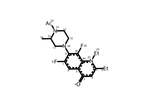 CCc1cc(=O)c2cc(F)c(N3CCN(C(C)=O)C(C)C3)c(F)c2n1CC